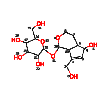 OCC1=CC(O)C2CCOC(OC3OC(CO)C(O)C(O)C3O)C12